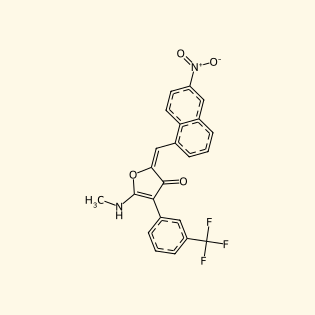 CNC1=C(c2cccc(C(F)(F)F)c2)C(=O)C(=Cc2cccc3cc([N+](=O)[O-])ccc23)O1